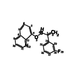 C=C(BOc1cccc2cccnc12)c1cccc(F)c1